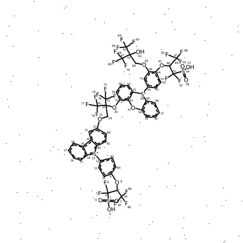 O=S(=O)(O)C(F)(F)C(Oc1ccc(-[s+]2c3ccccc3c3cc(OCC(Oc4cccc5c4Oc4ccccc4[S+]5c4ccc(OC(C(F)(F)F)C(F)(F)S(=O)(=O)O)c(OCC(O)(C(F)(F)F)C(F)(F)F)c4)(C(F)(F)F)C(F)(F)F)ccc32)cc1)C(F)(F)F